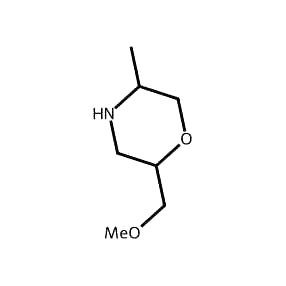 COCC1CNC(C)CO1